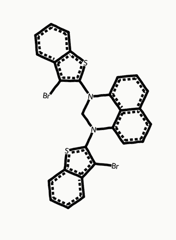 Brc1c(N2CN(c3sc4ccccc4c3Br)c3cccc4cccc2c34)sc2ccccc12